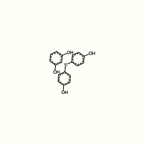 Oc1ccc(Sc2ccc(O)cc2)cc1.Oc1cccc(O)c1